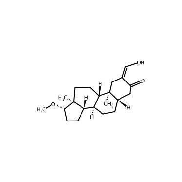 CO[C@H]1CC[C@H]2[C@@H]3CC[C@H]4CC(=O)C(=CO)C[C@]4(C)[C@H]3CC[C@]12C